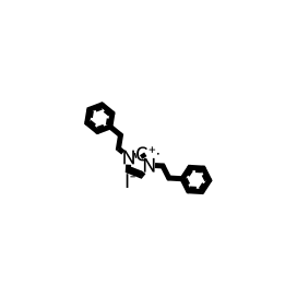 [C+]1N(CCc2ccccc2)C=CN1CCc1ccccc1.[I-]